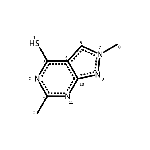 Cc1nc(S)c2cn(C)nc2n1